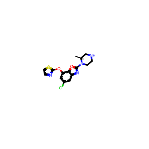 C[C@H]1CNCCN1c1nc2cc(Cl)cc(Oc3nccs3)c2o1